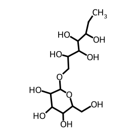 CCC(O)C(O)C(O)C(O)COC1OC(CO)C(O)C(O)C1O